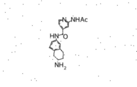 CC(=O)Nc1cc(C(=O)Nc2ccc3c(c2)CC[C@H](N)C3)ccn1